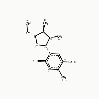 Nc1nc(=S)n([C@@H]2O[C@H](CO)[C@@H](O)[C@@H]2O)cc1F